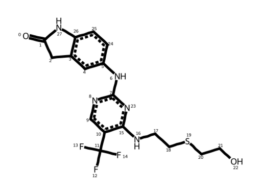 O=C1Cc2cc(Nc3ncc(C(F)(F)F)c(NCCSCCO)n3)ccc2N1